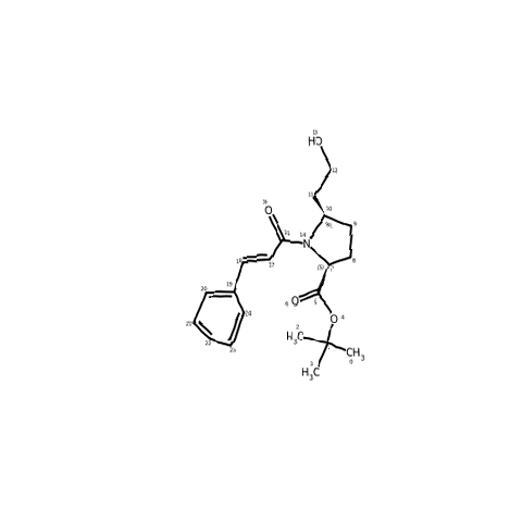 CC(C)(C)OC(=O)[C@@H]1CC[C@H](CCO)N1C(=O)C=Cc1ccccc1